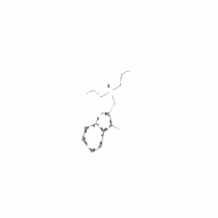 CCCP(=O)(CCC)Cc1sc2ccccc2c1C